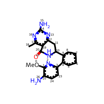 COc1nc(-c2ccccc2C2Cc3nc(N)nc(C)c3C(=O)N2)ccc1N